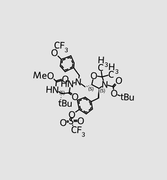 COC(=O)N[C@H](C(=O)NN(Cc1ccc(OC(F)(F)F)cc1)C[C@@H]1OC(C)(C)N(C(=O)OC(C)(C)C)[C@H]1Cc1ccc(OS(=O)(=O)C(F)(F)F)cc1)C(C)(C)C